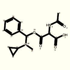 CC(=O)NC(C(=O)O)C(=O)OC(c1ccccc1)N(C)C1CC1